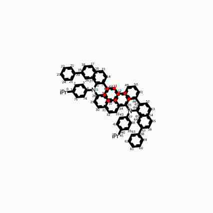 CC(C)c1ccc(N(c2c(-c3ccccc3)ccc3ccc(-c4ccccc4)cc23)c2ccc3ccc4c(N(c5ccc(C(C)C)cc5)c5c(-c6ccccc6)ccc6ccc(-c7ccccc7)cc56)ccc5ccc2c3c54)cc1